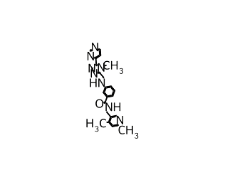 Cc1cc(C)c(CNC(=O)c2cccc(NCc3nnc(-c4ccncn4)n3C)c2)cn1